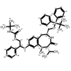 CC(C)[C@H]1C(=O)N[C@H](CO[Si](c2ccccc2)(c2ccccc2)C(C)(C)C)Cc2ccc(OC(COC(=O)NC(C)(C)C)c3ccncn3)cc2N1C